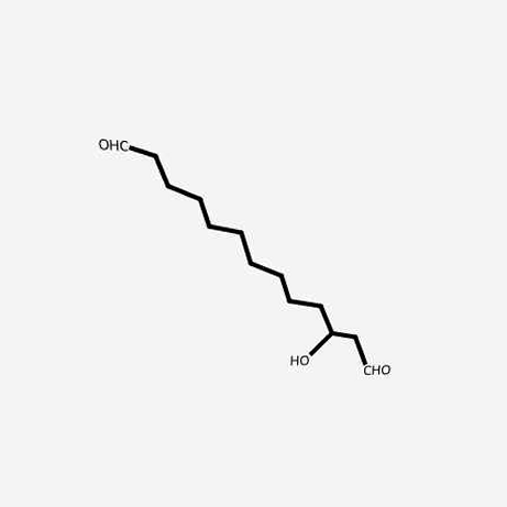 O=CCCCCCCCCCC(O)CC=O